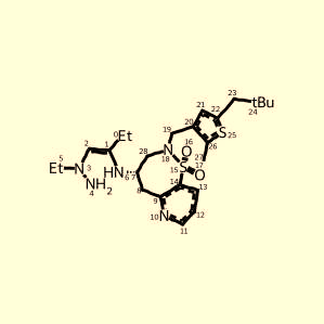 CC/C(=C/N(N)CC)N[C@H]1Cc2ncccc2S(=O)(=O)N(Cc2cc(CC(C)(C)C)sc2C)C1